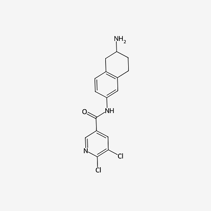 NC1CCc2cc(NC(=O)c3cnc(Cl)c(Cl)c3)ccc2C1